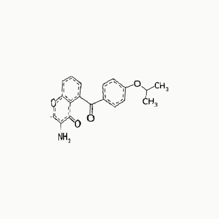 CC(C)Oc1ccc(C(=O)c2cccc3o[c]c(N)c(=O)c23)cc1